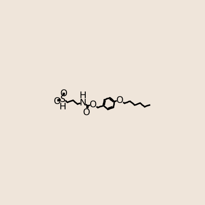 CCCCCCOc1ccc(COC(=O)NCCC[SH](=O)=O)cc1